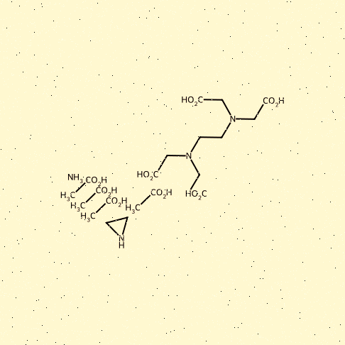 C1CN1.CC(=O)O.CC(=O)O.CC(=O)O.CC(=O)O.N.O=C(O)CN(CCN(CC(=O)O)CC(=O)O)CC(=O)O